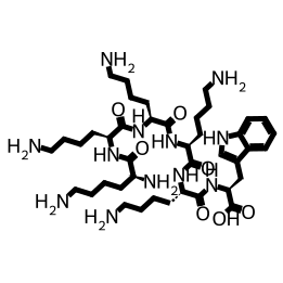 NCCCC[C@H](NC(=O)[C@H](CCCCN)NC(=O)[C@H](CCCCN)NC(=O)[C@H](CCCCN)NC(=O)[C@@H](N)CCCCN)C(=O)N[C@@H](Cc1c[nH]c2ccccc12)C(=O)O